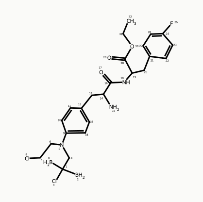 BC(B)(Cl)CN(CCCl)c1ccc(CC(N)C(=O)NC(Cc2ccc(F)cc2)C(=O)OCC)cc1